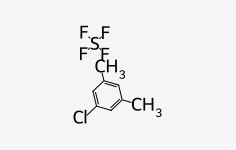 Cc1cc(C)cc(Cl)c1.FS(F)(F)F